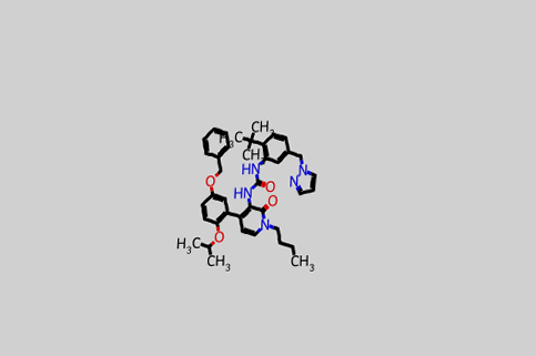 CCCCn1ccc(-c2cc(OCc3ccccc3)ccc2OC(C)C)c(NC(=O)Nc2cc(Cn3cccn3)ccc2C(C)(C)C)c1=O